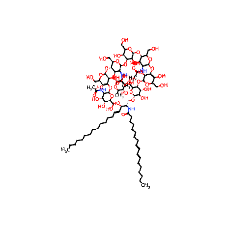 CCCCCCCCCCCCC/C=C/[C@@H](O)[C@H](CO[C@@H]1OC(CO)[C@@H](O[C@@H]2OC(CO)[C@H](O)[C@H](O[C@@H]3OC(CO)[C@@H](O[C@@H]4OC(CO)[C@H](O)[C@H](O[C@@H]5OC(CO)[C@@H](O[C@@H]6OC(CO)[C@H](O)[C@H](O[C@H]7OC(CO)[C@H](O)[C@H](O)C7NC(C)=O)C6O[C@H]6OC(C)[C@@H](O)C(O)[C@@H]6O)[C@H](O)C5NC(C)=O)C4O)[C@H](O)C3NC(C)=O)C2O)[C@H](O)C1O)NC(=O)CCCCCCCCCCCCCCCCC